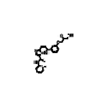 O=C(NC1=CC=CCN1)c1cnc2n1NC(c1cccc(OCC(O)CO)c1)C=C2